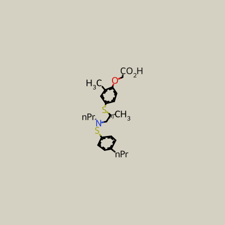 CCCc1ccc(SN(CCC)C[C@@H](C)Sc2ccc(OCC(=O)O)c(C)c2)cc1